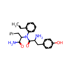 C=Cc1ccccc1N(C(=O)C(N)Cc1ccc(O)cc1)C(CC(C)C)C(N)=O